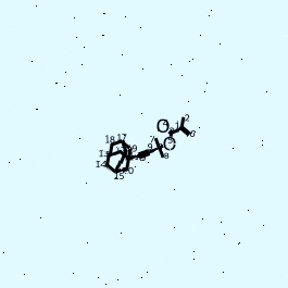 C=C(C)C(=O)OC(C)(C)C#CC12CC3CC(CC(C3)C1)C2